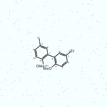 CCc1c[c]c(OC)c(-c2cc(C)ccc2OC)c1